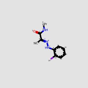 CCCNC(=O)/C(C#N)=N/Nc1ccccc1I